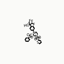 O=S(=O)(C[C@H]1CN(S(=O)(=O)c2cccs2)CCN1c1ccc(C(O)(CF)C(F)F)cc1)c1ccccc1